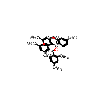 COc1ccc([SiH](O[SiH](c2ccc(OC)cc2OC)c2ccc(OC)cc2OC)c2ccc(OC)cc2OC)c(OC)c1